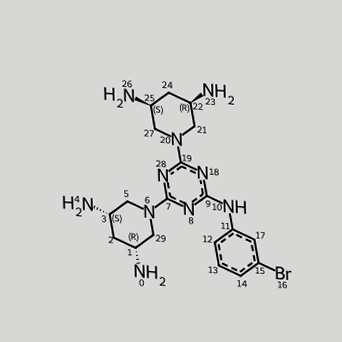 N[C@@H]1C[C@H](N)CN(c2nc(Nc3cccc(Br)c3)nc(N3C[C@H](N)C[C@H](N)C3)n2)C1